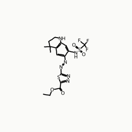 CCOC(=O)c1nnc(N=Nc2cc3c(cc2NS(=O)(=O)C(F)(F)F)NCCC3(C)C)s1